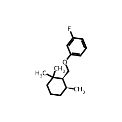 C[C@H]1CCCC(C)(C)[C@H]1COc1cccc(F)c1